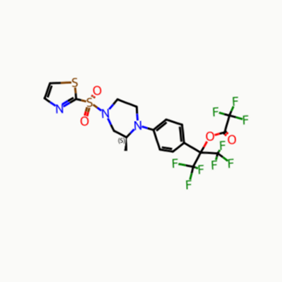 C[C@H]1CN(S(=O)(=O)c2nccs2)CCN1c1ccc(C(OC(=O)C(F)(F)F)(C(F)(F)F)C(F)(F)F)cc1